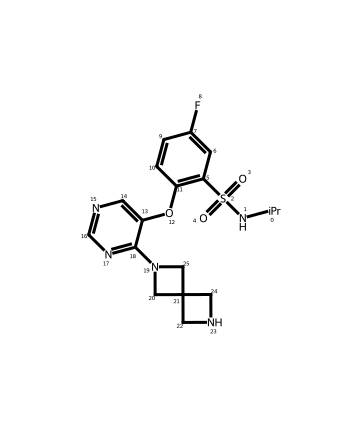 CC(C)NS(=O)(=O)c1cc(F)ccc1Oc1cncnc1N1CC2(CNC2)C1